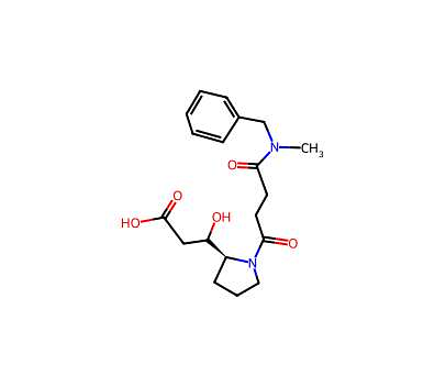 CN(Cc1ccccc1)C(=O)CCC(=O)N1CCC[C@H]1C(O)CC(=O)O